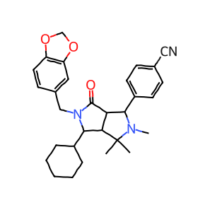 CN1C(c2ccc(C#N)cc2)C2C(=O)N(Cc3ccc4c(c3)OCO4)C(C3CCCCC3)C2C1(C)C